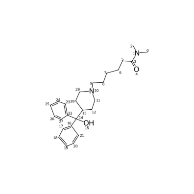 CN(C)C(=O)CCCCCN1CCC(C(O)(c2ccccc2)c2ccccc2)CC1